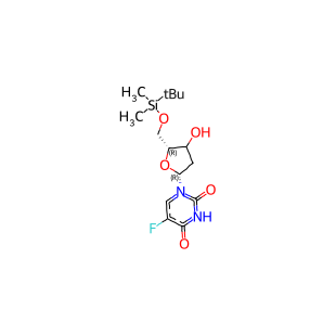 CC(C)(C)[Si](C)(C)OC[C@H]1O[C@@H](n2cc(F)c(=O)[nH]c2=O)CC1O